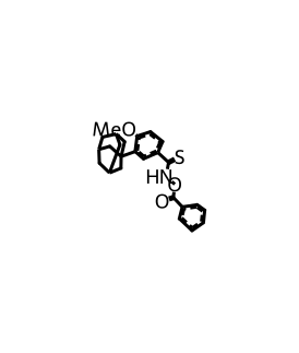 COc1ccc(C(=S)NOC(=O)c2ccccc2)cc1C12CC3CC(CC(C3)C1)C2